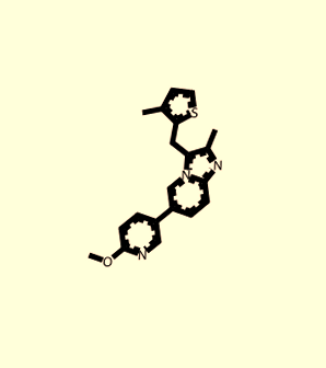 COc1ccc(-c2ccc3nc(C)c(Cc4sccc4C)n3c2)cn1